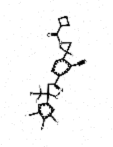 N#Cc1cc(C2=NOC(c3cc(Cl)c(F)c(Cl)c3)(C(F)(F)F)C2)ccc1C1(F)CN(C(=O)C2CCC2)C1